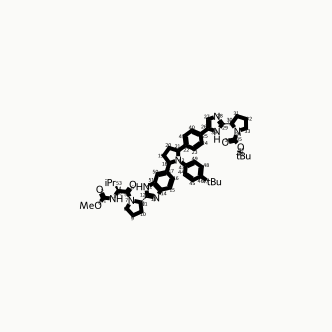 COC(=O)N[C@H](C(=O)N1CCC[C@H]1c1nc2ccc(C3CCC(c4ccc(-c5cnc([C@@H]6CCCN6C(=O)OC(C)(C)C)[nH]5)cc4)N3c3ccc(C(C)(C)C)cc3)cc2[nH]1)C(C)C